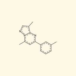 Cc1cccc(-c2cc(C)n3ncc(C)c3n2)c1